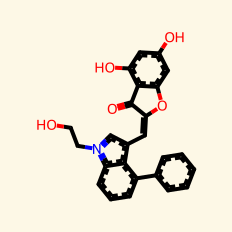 O=C1C(=Cc2cn(CCO)c3cccc(-c4ccccc4)c23)Oc2cc(O)cc(O)c21